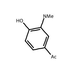 CNc1cc(C(C)=O)ccc1O